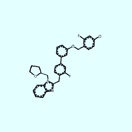 Fc1cc(Cl)ccc1COc1cccc(-c2ccc(Cc3nc4ccccc4n3CC3CCCO3)c(F)c2)c1